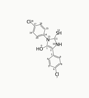 OC1=C(c2ccc(Cl)cc2)NC(S)N1c1ccc(Cl)cc1